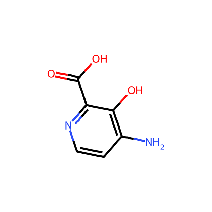 Nc1ccnc(C(=O)O)c1O